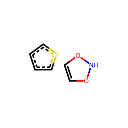 C1=CONO1.c1ccsc1